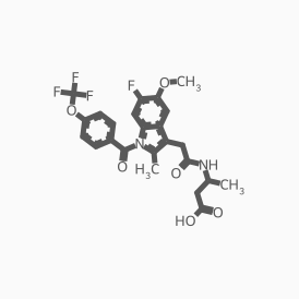 COc1cc2c(CC(=O)NC(C)CC(=O)O)c(C)n(C(=O)c3ccc(OC(F)(F)F)cc3)c2cc1F